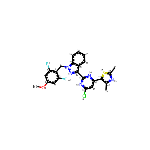 CCOc1cc(F)c(Cn2nc(-c3nc(Cl)cc(-c4sc(C)nc4C)n3)c3ccccc32)c(F)c1